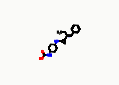 CC/C(=C\c1ccccc1)C1CC1N[C@H]1CC[C@@H](NC(=O)O)CC1